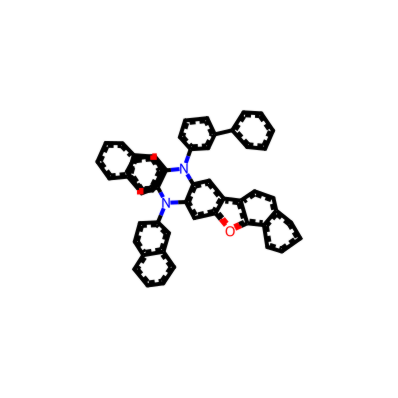 c1ccc(-c2cccc(N(c3ccc4ccccc4c3)c3cc4c(cc3N(c3ccccc3)c3ccc5ccccc5c3)oc3c5ccccc5ccc43)c2)cc1